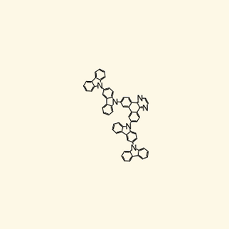 c1ccc2c(c1)c1ccccc1n2-c1ccc2c(c1)c1ccccc1n2-c1ccc2c(c1)c1cc(-n3c4ccccc4c4cc(-n5c6ccccc6c6ccccc65)ccc43)ccc1c1nccnc21